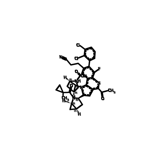 CC(=O)c1nc2c(F)c(-c3cccc(Cl)c3Cl)c(CCC#N)cc2c2c1cc([C@H]1C[C@H]3C[C@H]3N1C(=O)C1(C)CC1)n2[C@H]1[C@@H]2C[C@H]1N(C(=O)O)C2